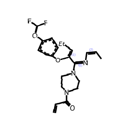 C=CC(=O)N1CCN(C(=N/C=C\C)/C(=C/CC)Oc2ccc(OC(F)F)cc2)CC1